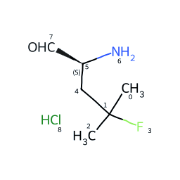 CC(C)(F)C[C@H](N)C=O.Cl